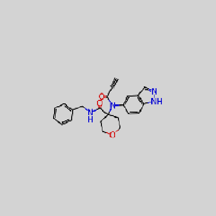 C#CC(=O)N(c1ccc2[nH]ncc2c1)C1(C(=O)NCc2ccccc2)CCOCC1